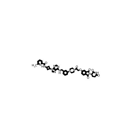 Cc1cccc(C(=O)NC2CC(n3cnc4c(NCc5cccc(N6CCN(C(=O)COc7ccc8c(c7)C(=O)N([C@H]7CCC(=O)NC7=O)C8=O)CC6)c5)ncnc43)C2)n1